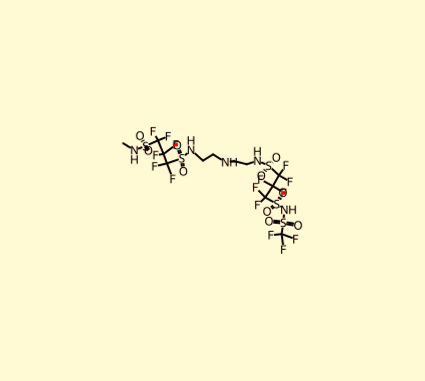 CNS(=O)(=O)C(F)(F)C(F)(F)C(F)(F)S(=O)(=O)NCCNCCNS(=O)(=O)C(F)(F)C(F)(F)C(F)(F)S(=O)(=O)NS(=O)(=O)C(F)(F)F